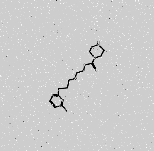 Cc1cccc(CCCOCCOC(=O)N2CCNCC2)n1